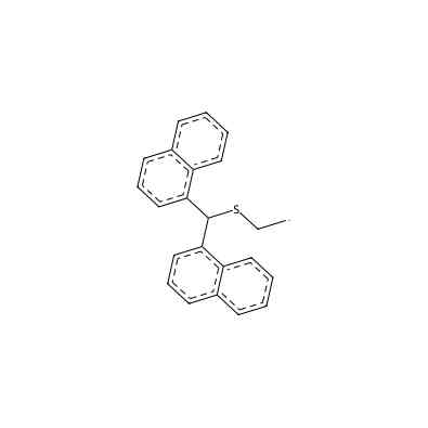 [CH2]CSC(c1cccc2ccccc12)c1cccc2ccccc12